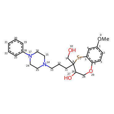 COc1ccc2c(c1)SC(CO)(CCCN1CCN(c3ccccc3)CC1)C(O)CO2